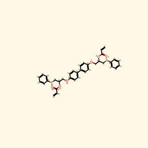 C=CC(=O)OC(COc1ccc(-c2ccc(OCC(CSc3ccccc3)OC(=O)C=C)cc2)cc1)CSc1ccccc1